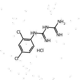 Cl.N=C(N)NC(=N)Nc1ccc(Cl)cc1Cl